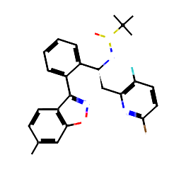 Cc1ccc2c(-c3ccccc3[C@H](Cc3nc(Br)ccc3F)N[S+]([O-])C(C)(C)C)noc2c1